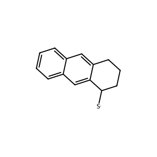 [S]C1CCCc2cc3ccccc3cc21